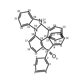 O=P(c1ccccc1)(c1ccccc1)c1cccc2c1c1ccccc1c1nc3ccccc3n21